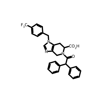 O=C(O)C1Cc2c(ncn2Cc2ccc(C(F)(F)F)cc2)CN1C(=O)C(c1ccccc1)c1ccccc1